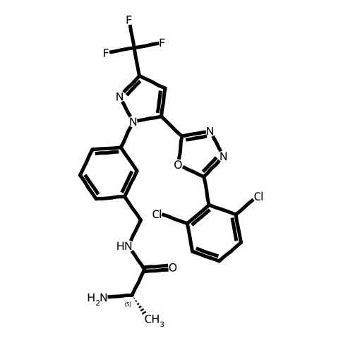 C[C@H](N)C(=O)NCc1cccc(-n2nc(C(F)(F)F)cc2-c2nnc(-c3c(Cl)cccc3Cl)o2)c1